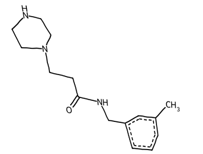 Cc1cccc(CNC(=O)CCN2CCNCC2)c1